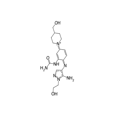 NC(=O)NC1=CC(=[N+]2CCC(CO)CC2)C=C/C1=N/c1cnn(CCO)c1N